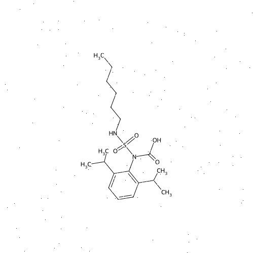 CCCCCCNS(=O)(=O)N(C(=O)O)c1c(C(C)C)cccc1C(C)C